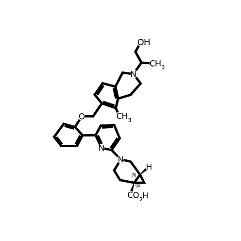 Cc1c(COc2ccccc2-c2cccc(N3CC[C@@]4(C(=O)O)C[C@H]4C3)n2)ccc2c1CCN(C(C)CO)C2